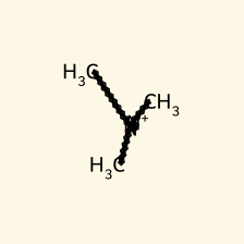 CCCCCCCCCCCCCCCCCCCc1n(CCCCCCCCCCC)cc[n+]1CCCCCCCC